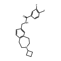 O=C(NCc1ccc2c(c1)CCN(C1CCC1)CC2)c1ccc(F)c(F)c1